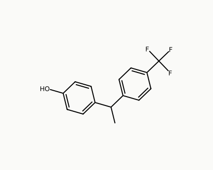 CC(c1ccc(O)cc1)c1ccc(C(F)(F)F)cc1